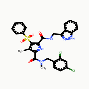 Cc1c(C(=O)N(C)Cc2ccc(Cl)cc2Cl)[nH]c(C(=O)NCc2n[nH]c3ccccc23)c1S(=O)(=O)c1ccccc1